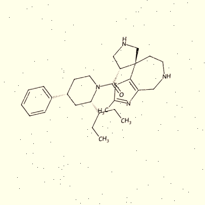 CCC(CC)[C@@H]1C[C@H](c2ccccc2)CCN1C(=O)[C@@H]1CNC[C@]12CCNCc1nc(C)sc12